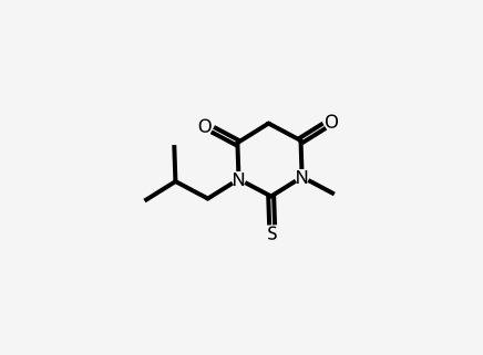 CC(C)CN1C(=O)CC(=O)N(C)C1=S